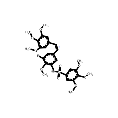 COc1cc(/C=C\c2cc(F)c(OC)c(NS(=O)(=O)c3cc(OC)c(OC)c(OC)c3)c2)cc(OC)c1OC